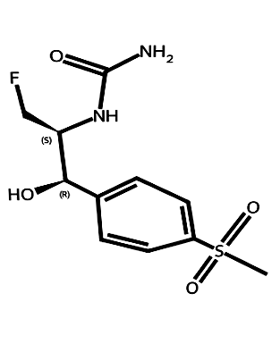 CS(=O)(=O)c1ccc([C@@H](O)[C@@H](CF)NC(N)=O)cc1